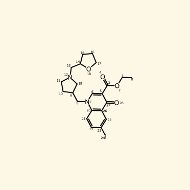 CCOC(=O)c1cn(CC2CCN(CC3CCCO3)C2)c2ccc(I)cc2c1=O